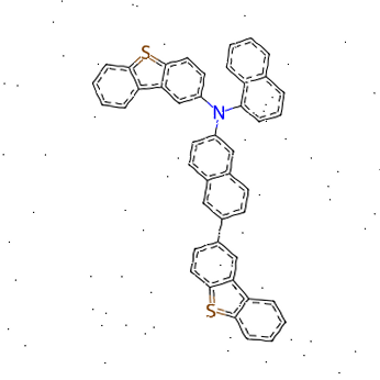 c1ccc2c(N(c3ccc4cc(-c5ccc6sc7ccccc7c6c5)ccc4c3)c3ccc4sc5ccccc5c4c3)cccc2c1